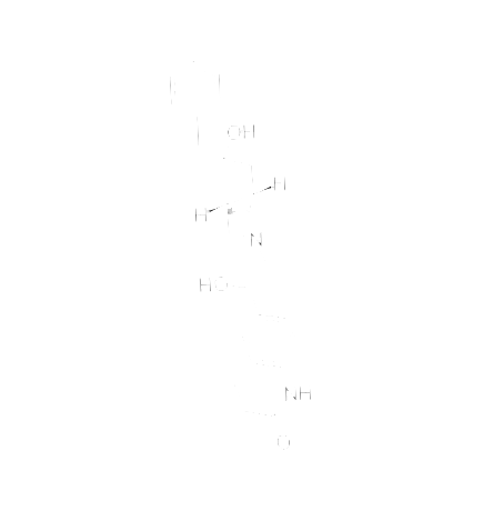 O=C1CCc2cc(C(O)CN3C[C@@H]4CC(O)(Cc5ccccc5)C[C@@H]4C3)ccc2N1